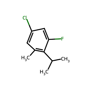 Cc1cc(Cl)cc(F)c1C(C)C